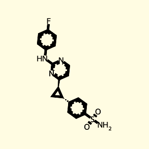 NS(=O)(=O)c1ccc([C@@H]2C[C@H]2c2ccnc(Nc3ccc(F)cc3)n2)cc1